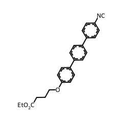 [C-]#[N+]c1ccc(-c2ccc(-c3ccc(OCCCC(=O)OCC)cc3)cc2)cc1